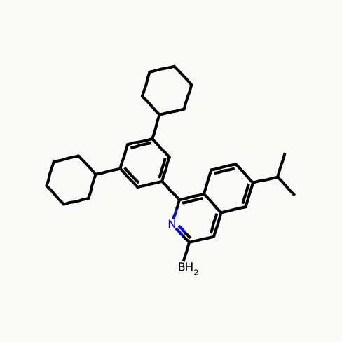 Bc1cc2cc(C(C)C)ccc2c(-c2cc(C3CCCCC3)cc(C3CCCCC3)c2)n1